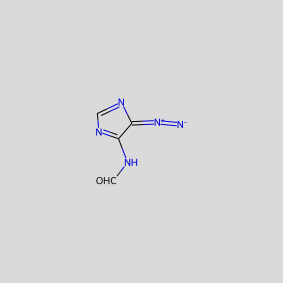 [N-]=[N+]=C1N=CN=C1NC=O